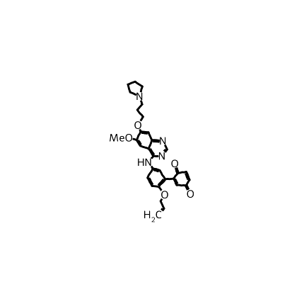 C=CCOc1ccc(Nc2ncnc3cc(OCCCN4CCCC4)c(OC)cc23)cc1C1=CC(=O)C=CC1=O